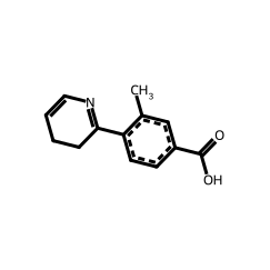 Cc1cc(C(=O)O)ccc1C1=NC=CCC1